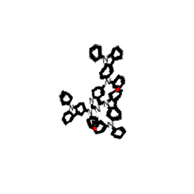 c1ccc(N(c2ccc3nc(N(c4ccccc4)c4ccc5c(c4)c4ccccc4n5-c4ccccc4)nc(-n4c5ccccc5c5ccc(N(c6ccccc6)c6ccccc6)cc54)c3c2)c2ccc3c(c2)c2ccccc2n3-c2ccccc2)cc1